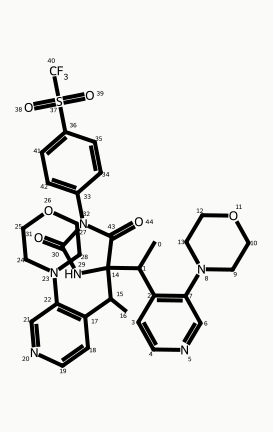 CC(c1ccncc1N1CCOCC1)C1(C(C)c2ccncc2N2CCOCC2)NC(=O)N(c2ccc(S(=O)(=O)C(F)(F)F)cc2)C1=O